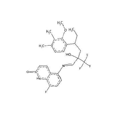 CCC(CC(O)(/C=N/c1ccc(F)c2[nH]c(=O)ccc12)C(F)(F)F)c1ccc(C)c(C)c1OC